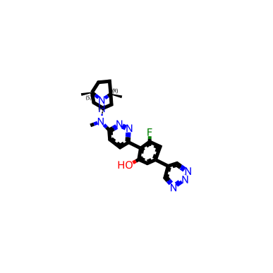 CN(c1ccc(-c2c(O)cc(-c3cnnnc3)cc2F)nn1)[C@@H]1C[C@]2(C)CC[C@](C)(C1)N2